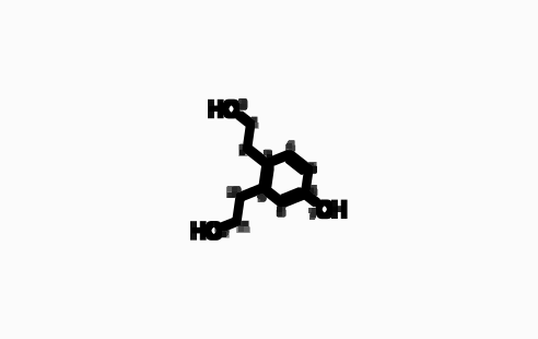 OCCc1ccc(O)cc1CCO